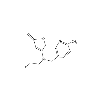 Cc1ccc(CN(CCF)C2=CC(=O)OC2)cn1